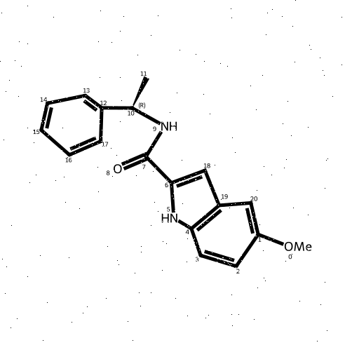 COc1ccc2[nH]c(C(=O)N[C@H](C)c3ccccc3)cc2c1